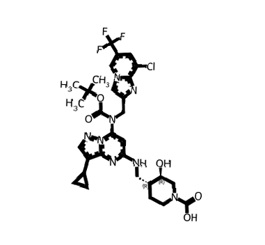 CC(C)(C)OC(=O)N(Cc1cn2cc(C(F)(F)F)cc(Cl)c2n1)c1cc(NC[C@H]2CCN(C(=O)O)C[C@@H]2O)nc2c(C3CC3)cnn12